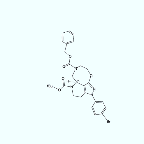 CC(C)(C)OC(=O)N1CCc2c3c(nn2-c2ccc(Br)cc2)OCCN(C(=O)OCc2ccccc2)C[C@@H]31